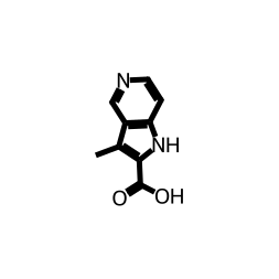 Cc1c(C(=O)O)[nH]c2ccncc12